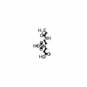 CCC(=O)NCCN(CCC(=O)O)S(=O)(=O)O